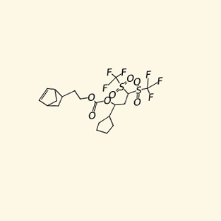 O=C(OCCC1CC2C=CC1C2)OC(CC(S(=O)(=O)C(F)(F)F)S(=O)(=O)C(F)(F)F)C1CCCC1